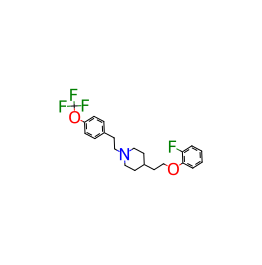 Fc1ccccc1OCCC1CCN(CCc2ccc(OC(F)(F)F)cc2)CC1